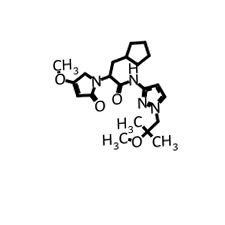 COC1=CC(=O)N(C(CC2CCCC2)C(=O)Nc2ccn(CC(C)(C)OC)n2)C1